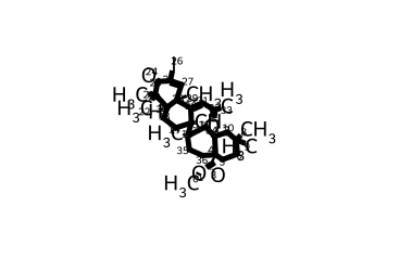 COC(=O)[C@]12CCC(C)(C)CC1C[C@](C)([C@]1(C)CC[C@H]3C(C)(C)C(=O)C(I)=C[C@]3(C)/C1=C/C(C)=O)CC2